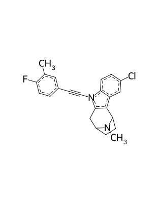 Cc1cc(C#Cn2c3c(c4cc(Cl)ccc42)C2CCC(C3)N2C)ccc1F